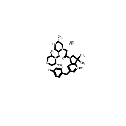 C[C@@H]1CN(CC(=O)N2CC(C)(C)c3c2cc(Cc2ccc(F)cc2)c[n+]3[O-])[C@@H](CN2[C@H](C)COC[C@H]2C)CN1.Cl.Cl